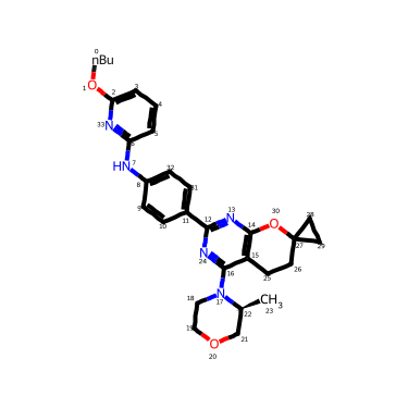 CCCCOc1cccc(Nc2ccc(-c3nc4c(c(N5CCOC[C@@H]5C)n3)CCC3(CC3)O4)cc2)n1